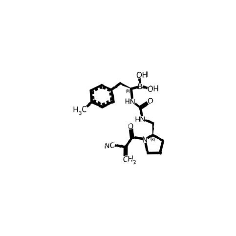 C=C(C#N)C(=O)N1CCC[C@@H]1CNC(=O)N[C@@H](Cc1ccc(C)cc1)B(O)O